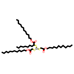 CCCCCCCCCCCCOC(=O)C[S][Sn]([S]CC(=O)OCCCCCCCCCCCC)[S]C(CCCCCCCC)C(=O)OCCCCCCCCCCCC